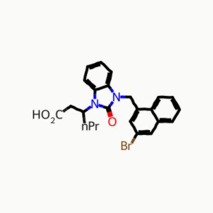 CCCC(CC(=O)O)n1c(=O)n(Cc2cc(Br)cc3ccccc23)c2ccccc21